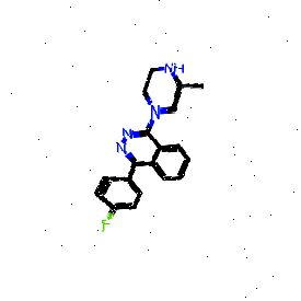 C[C@H]1CN(c2nnc(-c3ccc(F)cc3)c3ccccc23)CCN1